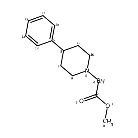 COC(=O)BN1CCC(c2ccccc2)CC1